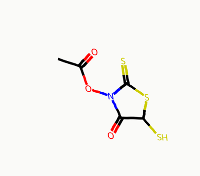 CC(=O)ON1C(=O)C(S)SC1=S